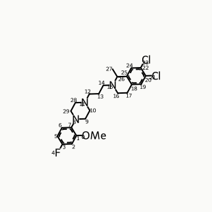 COc1cc(F)ccc1N1CCN(CCCN2CCc3cc(Cl)c(Cl)cc3C2C)CC1